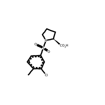 Cc1ccc(S(=O)(=O)N2CCC[C@H]2C(=O)O)cc1Cl